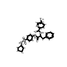 O=C(NC(Cc1ccccc1)C(=O)Nc1ccc(S(=O)(=O)NC2CCCC2)cc1)c1ccc(F)cn1